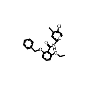 CCOc1cccc(OCc2ccccc2)c1C(=O)Nc1ccc(Cl)c(C)c1